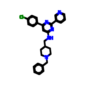 Clc1ccc(-c2cc(NCC3CCN(Cc4ccccc4)CC3)nc(-c3cccnc3)n2)cc1